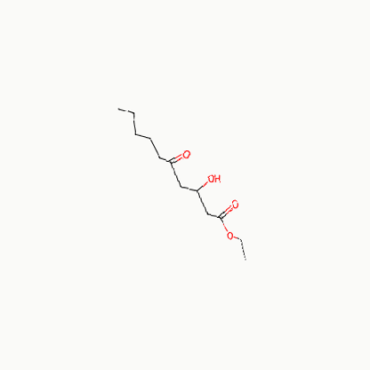 CCCCCC(=O)CC(O)CC(=O)OCC